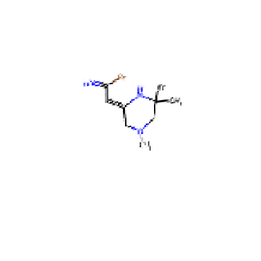 CC(C)C1(C)CN(C)C/C(=C/C(=N)Br)N1